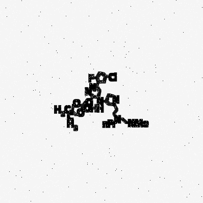 CCCN(CCNC)CCc1cc(Nc2cc(-c3cc(Cl)ccc3F)nnc2OCC2(O)OCC(C)(C)CO2)ccn1